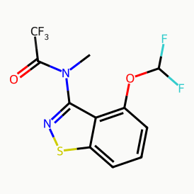 CN(C(=O)C(F)(F)F)c1nsc2cccc(OC(F)F)c12